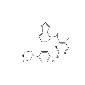 Cc1cnc(Nc2ccc(N3CCN(C)CC3)cc2)nc1Nc1cccc2[nH]ccc12.Cl